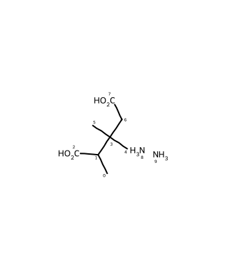 CC(C(=O)O)C(C)(C)CC(=O)O.N.N